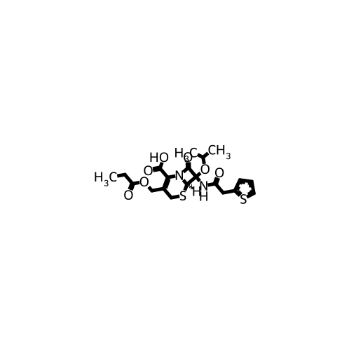 CCC(=O)OCC1=C(C(=O)O)N2C(=O)C(NC(=O)Cc3cccs3)(OC(C)C)[C@H]2SC1